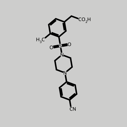 Cc1ccc(CC(=O)O)cc1S(=O)(=O)N1CCN(c2ccc(C#N)cc2)CC1